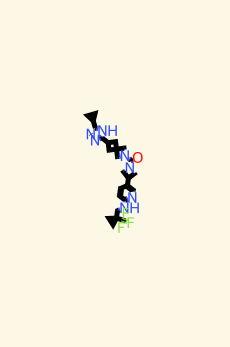 O=C(N1CC(c2ccc(NCC3(C(F)(F)F)CC3)nc2)C1)N1CC2(CC(c3nnc(C4CC4)[nH]3)C2)C1